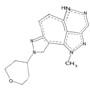 Cn1nc2cn[nH]c3ccc4c(c1c2=3)CN(C1CCOCC1)N=4